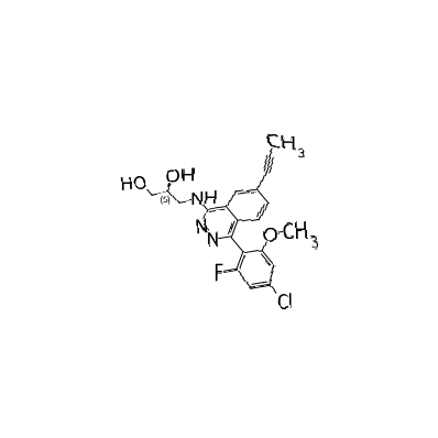 CC#Cc1ccc2c(-c3c(F)cc(Cl)cc3OC)nnc(NC[C@H](O)CO)c2c1